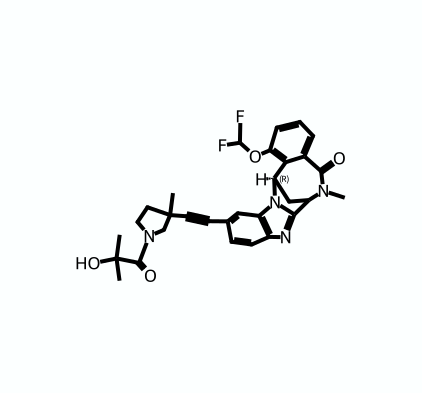 CN1C(=O)c2cccc(OC(F)F)c2[C@H]2CC1c1nc3ccc(C#CC4(C)CCN(C(=O)C(C)(C)O)C4)cc3n12